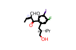 C/C=C(/C=O)C(=O)c1cc(I)c(F)cc1C[C@@H](CO)C(C)C